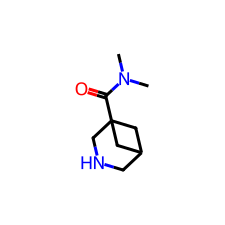 CN(C)C(=O)C12CNCC(C1)C2